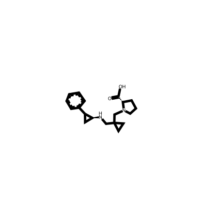 O=C(O)[C@@H]1CCCN1CC1(CN[C@H]2CC2c2ccccc2)CC1